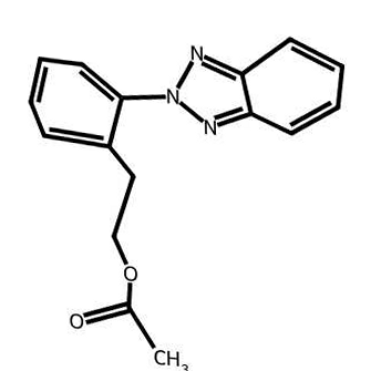 CC(=O)OCCc1ccccc1-n1nc2ccccc2n1